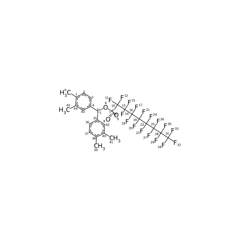 Cc1ccc([I+](OS(=O)(=O)C(F)(F)C(F)(F)C(F)(F)C(F)(F)C(F)(F)C(F)(F)C(F)(F)C(F)(F)F)c2ccc(C)c(C)c2)cc1C